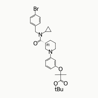 CC(C)(C)OC(=O)C(C)(C)Oc1cccc(N2CCC[C@@H](C(=O)N(Cc3ccc(Br)cc3)C3CC3)C2)c1